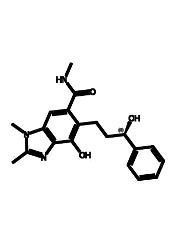 CNC(=O)c1cc2c(nc(C)n2C)c(O)c1CC[C@@H](O)c1ccccc1